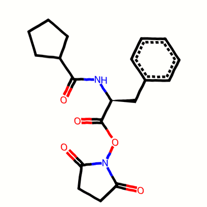 O=C(N[C@@H](Cc1ccccc1)C(=O)ON1C(=O)CCC1=O)C1CCCC1